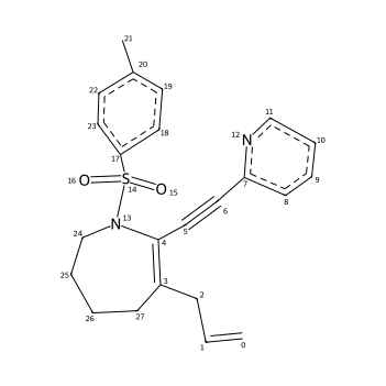 C=CCC1=C(C#Cc2ccccn2)N(S(=O)(=O)c2ccc(C)cc2)CCCC1